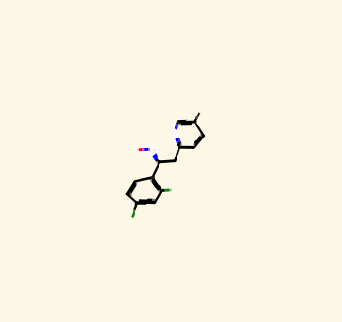 ON=C(Cc1ccc(C(F)(F)F)cn1)c1ccc(F)cc1Cl